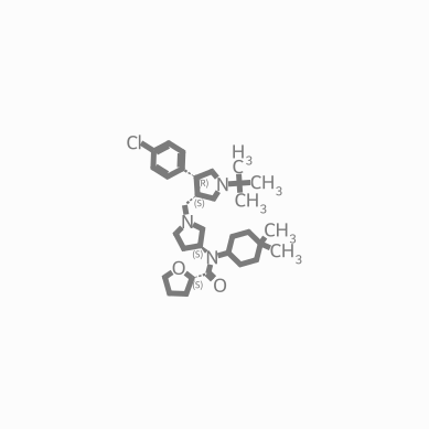 CC1(C)CCC(N(C(=O)[C@@H]2CCCO2)[C@H]2CCN(C[C@H]3CN(C(C)(C)C)C[C@H]3c3ccc(Cl)cc3)C2)CC1